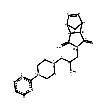 CC(=O)OC(CN1CCN(c2ncccn2)CC1)CN1C(=O)C2C3C=CC(C3)C2C1=O